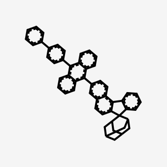 c1ccc(-c2ccc(-c3c4ccccc4c(-c4ccc5c6c(ccc5c4)C4(c5ccccc5-6)C5CC6CC(C5)CC4C6)c4ccccc34)cc2)cc1